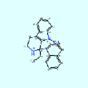 CCC1(c2cccc3ccccc23)NCCc2c1n(C)c1ccccc21